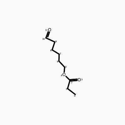 CCC(=O)OCCCCCC=O